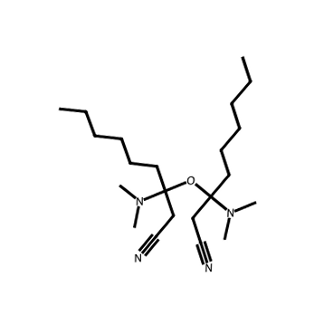 CCCCCCC(CC#N)(OC(CC#N)(CCCCCC)N(C)C)N(C)C